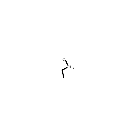 CC[SiH2]Cl